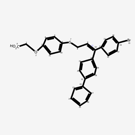 O=C(O)COc1ccc(SC/C=C(/c2ccc(Br)cc2)c2ccc(-c3ccccc3)cc2)cc1